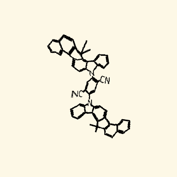 CC1(C)c2ccc3ccccc3c2-c2ccc3c(c21)c1ccccc1n3-c1cc(C#N)c(-n2c3ccccc3c3c4c(ccc32)-c2c(ccc3ccccc23)C4(C)C)cc1C#N